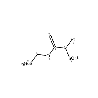 CCCCCCCCCCOC(=O)C(CC)CCCCCCCC